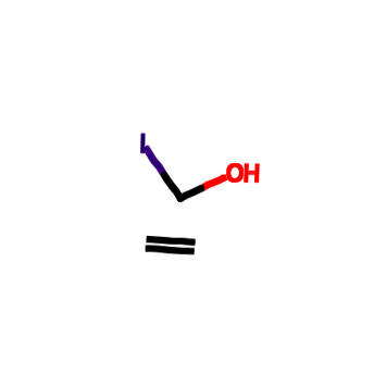 C=C.OCI